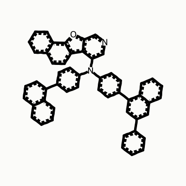 c1ccc(-c2cc(-c3ccc(N(c4ccc(-c5cccc6ccccc56)cc4)c4cncc5oc6c7ccccc7ccc6c45)cc3)c3ccccc3c2)cc1